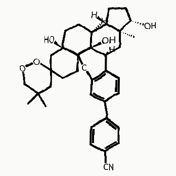 CC1(C)COOC2(CC[C@@]34Cc5cc(-c6ccc(C#N)cc6)ccc5[C@H]5C[C@]6(C)[C@@H](O)CC[C@H]6[C@H](CC[C@@]3(O)C2)[C@]54O)C1